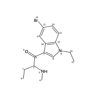 CCC(NC)C(=O)c1cn(CC)c2ccc(Br)cc12